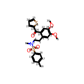 COc1cc(CCN(C)S(=O)(=O)c2ccc(C)cc2)c(C(=O)c2cccs2)cc1OC